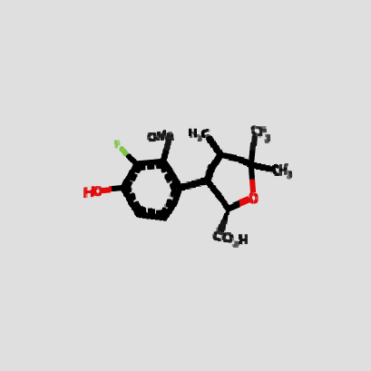 COc1c(C2C(C)C(C)(C(F)(F)F)O[C@H]2C(=O)O)ccc(O)c1F